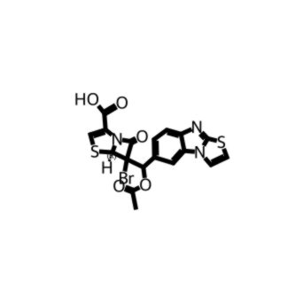 CC(=O)OC(c1ccc2nc3sccn3c2c1)C1(Br)C(=O)N2C(C(=O)O)=CS[C@@H]21